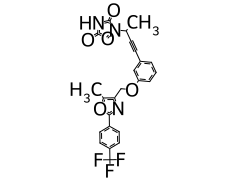 Cc1oc(-c2ccc(C(F)(F)F)cc2)nc1COc1cccc(C#CC(C)n2oc(=O)[nH]c2=O)c1